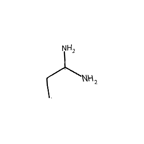 [CH2]C[C](N)N